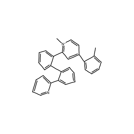 Cc1ccccc1-c1cc[n+](C)c(-c2ccccc2-c2ccccc2-c2ccccn2)c1